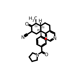 C[C@@H]1C(=O)C(C#N)C[C@@]2(c3ccc(C(=O)N4CCCC4)cc3)c3ncncc3CC[C@@H]12